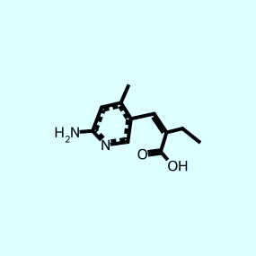 CCC(=Cc1cnc(N)cc1C)C(=O)O